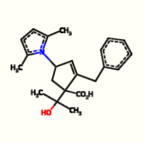 Cc1ccc(C)n1C1C=C(Cc2ccccc2)C(C(=O)O)(C(C)(C)O)C1